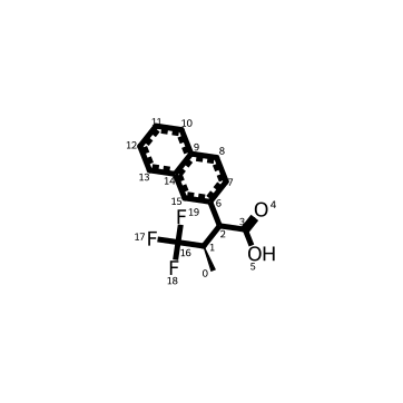 C[C@H](C(C(=O)O)c1ccc2ccccc2c1)C(F)(F)F